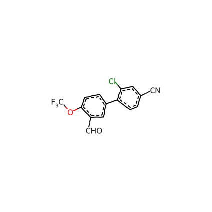 N#Cc1ccc(-c2ccc(OC(F)(F)F)c(C=O)c2)c(Cl)c1